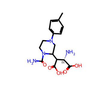 Cc1ccc(N2CCN(C(N)=O)C(C(C(=O)O)[C@H](N)C(=O)O)C2)cc1